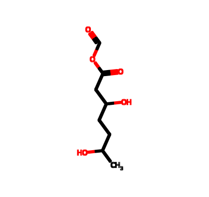 CC(O)CCC(O)CC(=O)OC=O